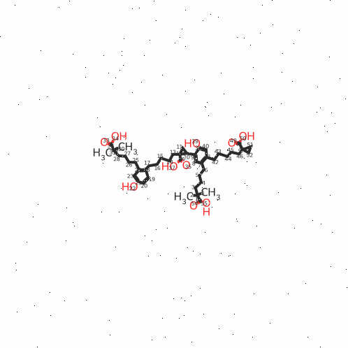 CC(C)(CCCCc1cc(C2CC2(CCCCCc2ccc(O)cc2CCCCC(C)(C)C(=O)O)C(=O)O)c(O)cc1CCCCCC1(C(=O)O)CC1)C(=O)O